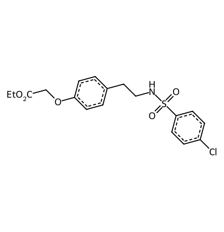 CCOC(=O)COc1ccc(CCNS(=O)(=O)c2ccc(Cl)cc2)cc1